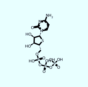 Nc1ccn([C@@H]2S[C@H](COP(=O)(O)OP(=O)(O)OP(=O)(O)O)[C@@H](O)[C@H]2O)c(=O)n1